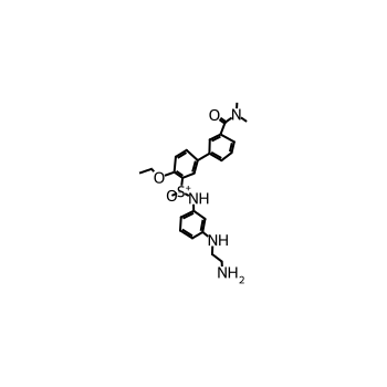 CCOc1ccc(-c2cccc(C(=O)N(C)C)c2)cc1[S+]([O-])Nc1cccc(NCCN)c1